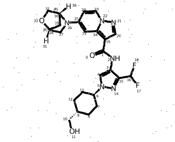 O=C(Nc1cn([C@H]2CC[C@H](CO)CC2)nc1C(F)F)c1cnn2ccc(N3C[C@H]4C[C@@H]3CO4)cc12